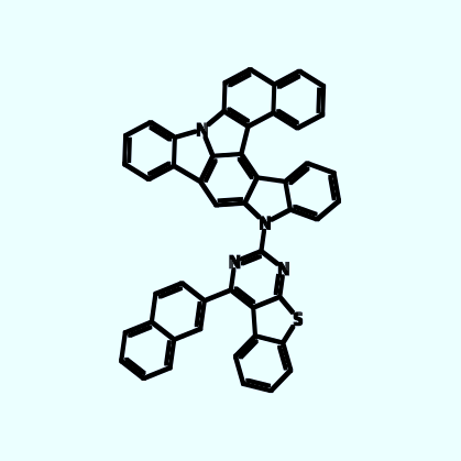 c1ccc2cc(-c3nc(-n4c5ccccc5c5c6c7c8ccccc8ccc7n7c8ccccc8c(cc54)c67)nc4sc5ccccc5c34)ccc2c1